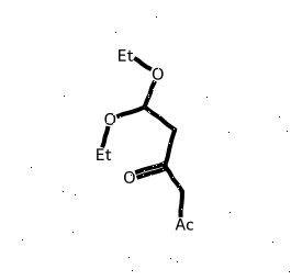 CCOC(CC(=O)CC(C)=O)OCC